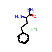 Cl.NC(=O)C(N)CCc1ccccc1